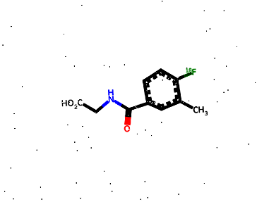 Cc1cc(C(=O)NCC(=O)O)ccc1[18F]